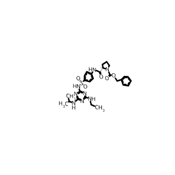 CCNc1nc(NC(C)C)nc(NS(=O)(=O)c2ccc(NC(=O)[C@@H]3CCCN3C(=O)OCc3ccccc3)cc2)n1